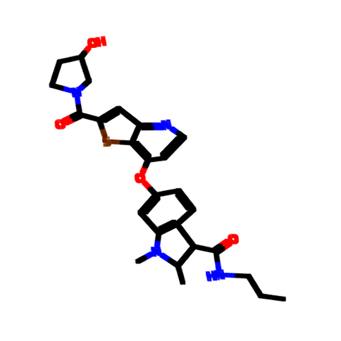 CCCNC(=O)C1c2ccc(Oc3ccnc4cc(C(=O)N5CCC(O)C5)sc34)cc2N(C)C1C